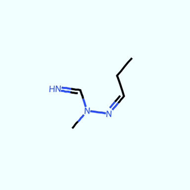 CC/C=N\N(C)C=N